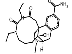 CCN1CCC[C@@]2(O)[C@H]3Cc4ccc(C(N)=O)cc4[C@@]2(CCN3C)CC(=O)N(CC)C1=O